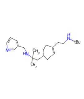 CC(C)(C)NCCC1=CCC(CC(C)(C)NCc2cccnc2)CC1